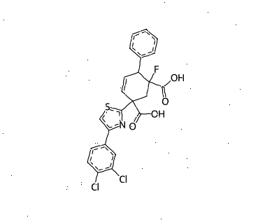 O=C(O)C1(c2nc(-c3ccc(Cl)c(Cl)c3)cs2)C=CC(c2ccccc2)C(F)(C(=O)O)C1